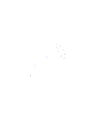 O=C(CCC(=O)N1Cc2ccccc2/C=C\c2ccccc21)NCCOCCNC(=O)OC1C/C=C/CCCC1